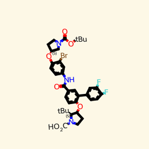 CC(C)(C)OC(=O)N1CC[C@H](Oc2ccc(NC(=O)c3ccc(OC4CCN(C(=O)O)[C@H]4C(C)(C)C)c(-c4ccc(F)c(F)c4)c3)cc2Br)C1